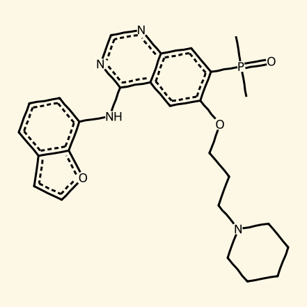 CP(C)(=O)c1cc2ncnc(Nc3cccc4ccoc34)c2cc1OCCCN1CCCCC1